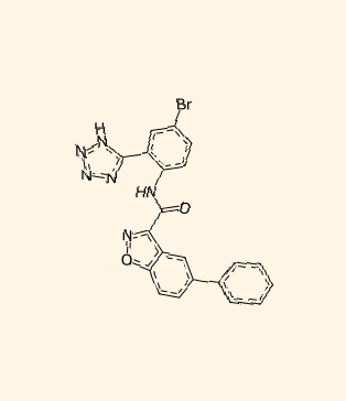 O=C(Nc1ccc(Br)cc1-c1nnn[nH]1)c1noc2ccc(-c3ccccc3)cc12